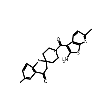 Cc1ccc2c(c1)C(=O)CC1(CCN(C(=O)c3c(N)sc4nc(C)ccc34)CC1)S2